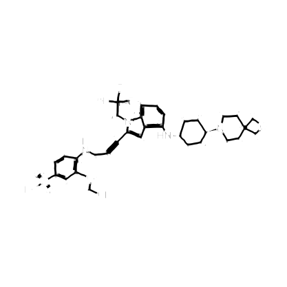 CCOc1cc(S(C)(=O)=O)ccc1NCC#Cc1cc2c(N[C@H]3CC[C@H](N4CCC5(CC4)COC5)CC3)cccc2n1CC(F)(F)F